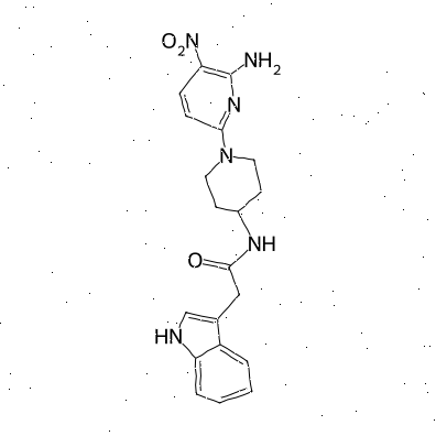 Nc1nc(N2CCC(NC(=O)Cc3c[nH]c4ccccc34)CC2)ccc1[N+](=O)[O-]